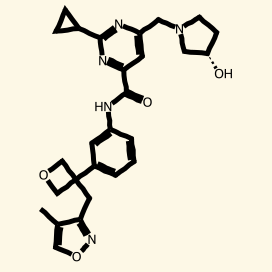 Cc1conc1CC1(c2cccc(NC(=O)c3cc(CN4CC[C@H](O)C4)nc(C4CC4)n3)c2)COC1